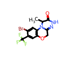 CC1C(=O)NN=C2COc3cc(C(F)(F)F)c(Br)cc3N21